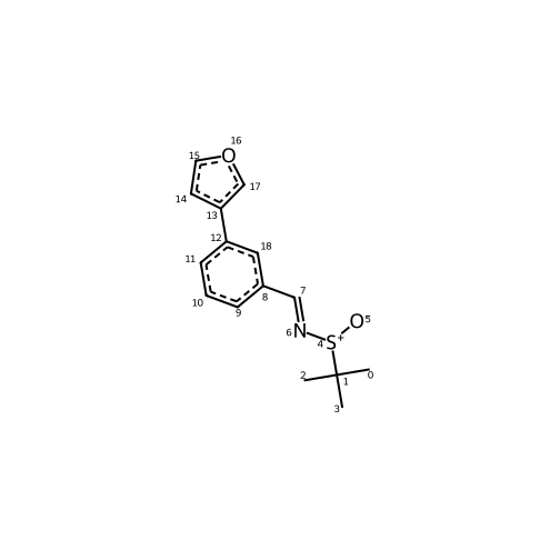 CC(C)(C)[S+]([O-])/N=C/c1cccc(-c2ccoc2)c1